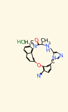 C[C@H]1NCc2cncn2Cc2ccc(C#N)c(c2)Oc2ccc3cccc(c3c2)N(C)C1=O.Cl